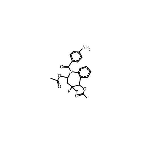 CC(=O)OC1CC(F)(F)C(OC(C)=O)c2ccccc2N1C(=O)c1ccc(N)cc1